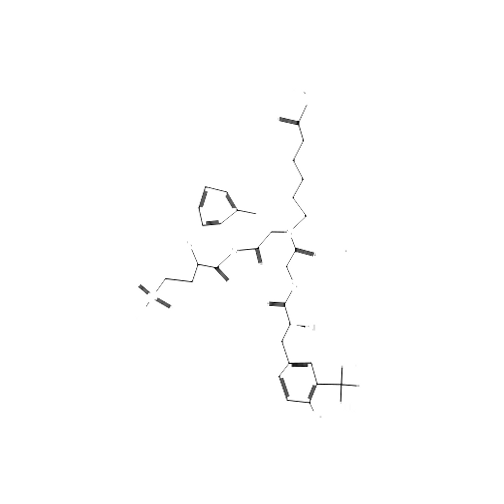 COC(=O)CCCCCN(C(=O)CNC(=O)[C@@H](N)Cc1ccc(O)c(C(C)(C)C)c1)[C@@H](Cc1ccccc1)C(=O)NC(=O)C(N)CCS(C)(=O)=O.Cl